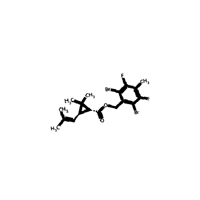 CC(C)=C[C@@H]1[C@@H](C(=O)OCc2c(Br)c(F)c(C)c(F)c2Br)C1(C)C